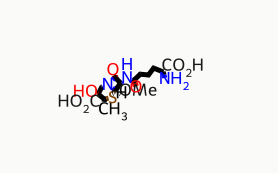 COC1(NC(=O)CCCC(N)C(=O)O)C(=O)N2CC(O)(C(=O)O)C(C)S[C@@H]21